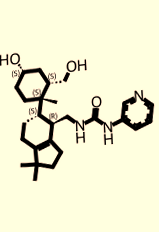 CC1(C)CCC2=C1CC[C@H]([C@]1(C)CC[C@H](O)C[C@@H]1CO)[C@H]2CNC(=O)Nc1cccnc1